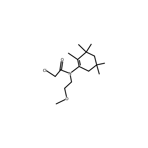 COCCN(C(=O)CCl)C1=C(C)C(C)(C)CC(C)(C)C1